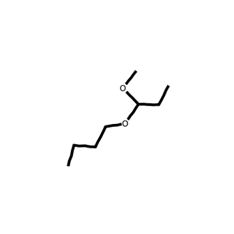 CCCCOC(CC)OC